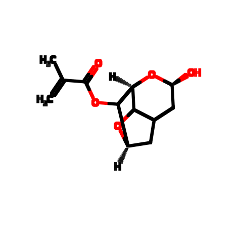 C=C(C)C(=O)OC1[C@H]2O[C@@H](O)CC3C[C@H]1OC32